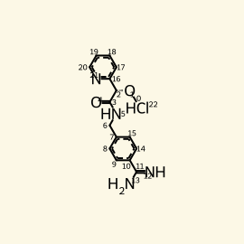 CO[C@H](C(=O)NCc1ccc(C(=N)N)cc1)c1ccccn1.Cl